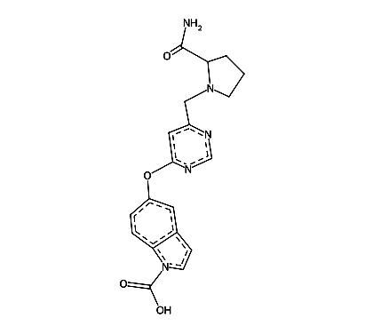 NC(=O)C1CCCN1Cc1cc(Oc2ccc3c(ccn3C(=O)O)c2)ncn1